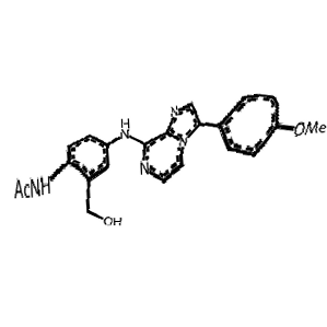 COc1ccc(-c2cnc3c(Nc4ccc(NC(C)=O)c(CO)c4)nccn23)cc1